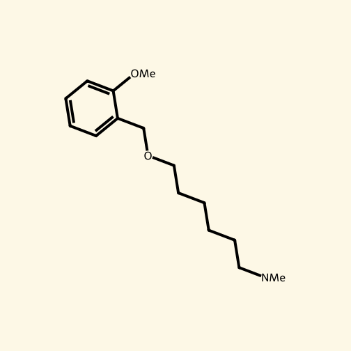 CNCCCCCCOCc1ccccc1OC